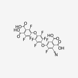 N#Cc1c(F)c(Oc2c(F)c(F)c(Oc3c(F)c(F)c(C(=O)O)c(C(=O)O)c3F)c(F)c2F)c(F)c(C(=O)O)c1C(=O)O